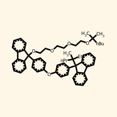 CCCCC(C)(C)OCCOCCOCCOC1(c2ccc(Oc3ccc(C4(C(C)(CC)CCC)c5ccccc5-c5ccccc54)cc3)cc2)c2ccccc2-c2ccccc21